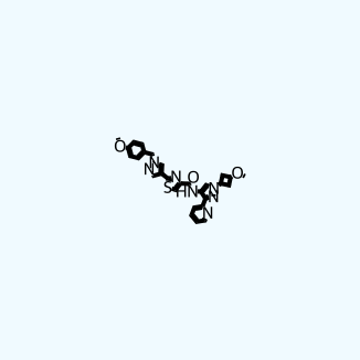 COc1ccc(Cn2cc(-c3nc(C(=O)Nc4cn(C5CC(OC)C5)nc4-c4ccccn4)cs3)cn2)cc1